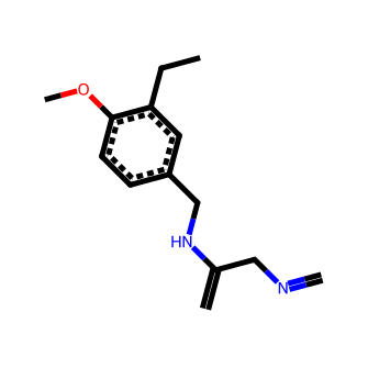 C=NCC(=C)NCc1ccc(OC)c(CC)c1